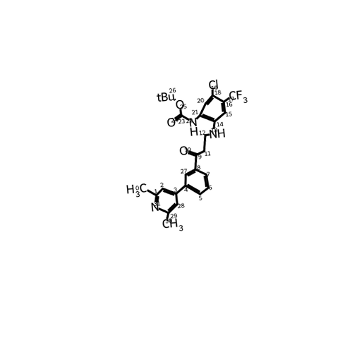 Cc1cc(-c2cccc(C(=O)CCNc3cc(C(F)(F)F)c(Cl)cc3NC(=O)OC(C)(C)C)c2)cc(C)n1